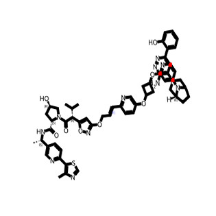 Cc1ncsc1-c1ccc([C@H](C)NC(=O)[C@@H]2C[C@@H](O)CN2C(=O)[C@@H](c2cc(OC/C=C/c3ccc(OC4CC(Oc5cc(N6C7CC[C@@H]6CN(c6cc(-c8ccccc8O)nnc6N)C7)ccn5)C4)cn3)no2)C(C)C)cn1